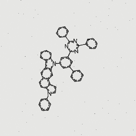 c1ccc(-c2cc(-c3nc(-c4ccccc4)nc(-c4ccccc4)n3)cc(-n3c4ccccc4c4cc5ccc6c(ccn6-c6ccccc6)c5cc43)c2)cc1